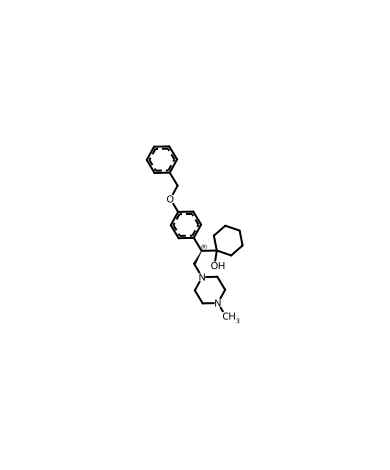 CN1CCN(C[C@@H](c2ccc(OCc3ccccc3)cc2)C2(O)CCCCC2)CC1